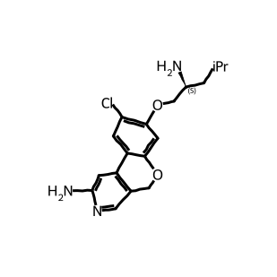 CC(C)C[C@H](N)COc1cc2c(cc1Cl)-c1cc(N)ncc1CO2